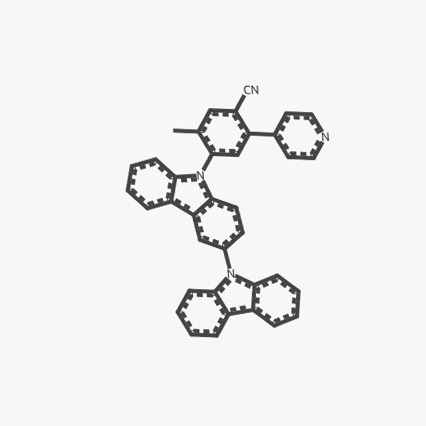 Cc1cc(C#N)c(-c2ccncc2)cc1-n1c2ccccc2c2cc(-n3c4ccccc4c4ccccc43)ccc21